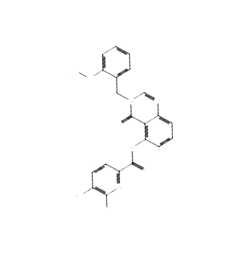 O=C(Nc1cccc2ncn(Cc3ccccc3OC(F)(F)F)c(=O)c12)c1ccc(O)c(C(F)(F)F)n1